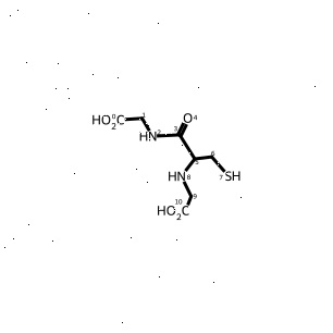 O=C(O)CNC(=O)C(CS)NCC(=O)O